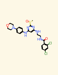 C[S+]([O-])c1nc(NCCNC(=O)c2ccc(Cl)cc2Cl)cc(Nc2ccc(N3CCOCC3)cc2)n1